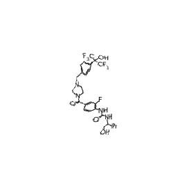 CC(C)[C@@H](CO)NC(=O)Nc1ccc(C(=O)N2CCN(Cc3ccc(C(O)(C(F)(F)F)C(F)(F)F)cc3)CC2)cc1F